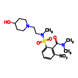 CN(C)C(=O)c1c([N+](=O)[O-])cccc1S(=O)(=O)N(C)CCN1CCC(O)CC1